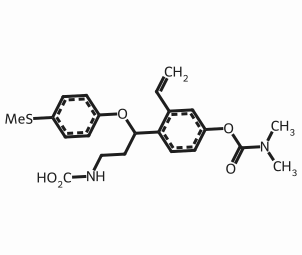 C=Cc1cc(OC(=O)N(C)C)ccc1C(CCNC(=O)O)Oc1ccc(SC)cc1